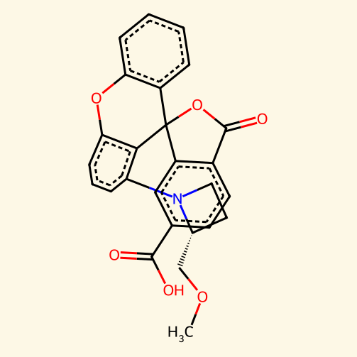 COC[C@H]1CCN1c1cccc2c1C1(OC(=O)c3ccc(C(=O)O)cc31)c1ccccc1O2